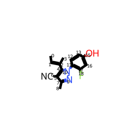 C/C=C(\C)c1c(C#N)c(C)nn1-c1ccc(O)cc1F